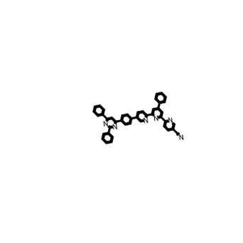 N#Cc1ccc(-c2cc(-c3ccccc3)cc(-c3ccc(-c4ccc(-c5cc(-c6ccccc6)nc(-c6ccccc6)n5)cc4)cn3)n2)nc1